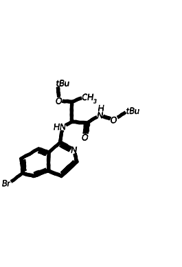 CC(OC(C)(C)C)C(Nc1nccc2cc(Br)ccc12)C(=O)NOC(C)(C)C